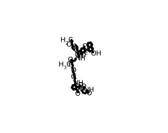 C=CC(=O)N1CCN(c2nc(NCCC(=O)N(C)CCOCCOCCNc3cccc4c3C(=O)N(C3CCC(=O)NC3=O)C4=O)nc3c(F)c(-c4cc(O)cc5ccccc45)c(Cl)cc23)CC1